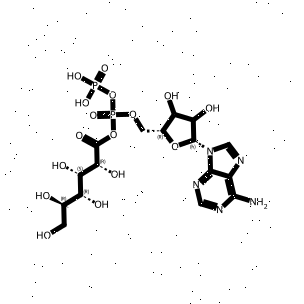 Nc1ncnc2c1ncn2[C@@H]1O[C@H](COP(=O)(OC(=O)[C@H](O)[C@@H](O)[C@H](O)[C@H](O)CO)OP(=O)(O)O)C(O)C1O